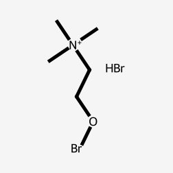 Br.C[N+](C)(C)CCOBr